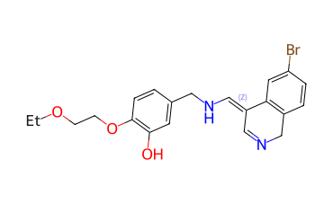 CCOCCOc1ccc(CN/C=C2\C=NCc3ccc(Br)cc32)cc1O